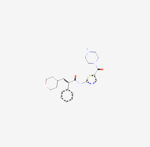 CCN1CCN(C(=O)c2cnc(NC(=O)C(=CC3CCOCC3)c3ccccc3)s2)CC1